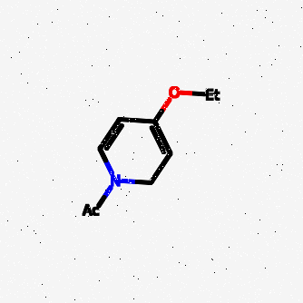 CCOC1=CCN(C(C)=O)C=C1